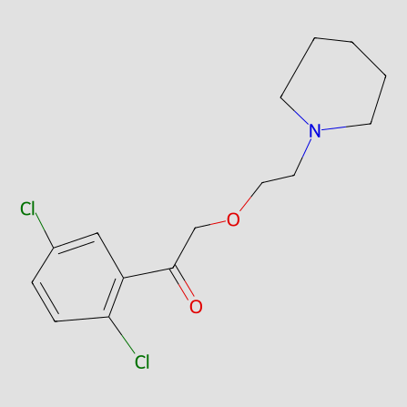 O=C(COCCN1CCCCC1)c1cc(Cl)ccc1Cl